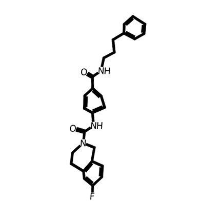 O=C(NCCCc1ccccc1)c1ccc(NC(=O)N2CCc3cc(F)ccc3C2)cc1